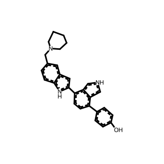 Oc1ccc(-c2ccc(-c3cc4cc(CN5CCCCC5)ccc4[nH]3)c3c[nH]cc23)cc1